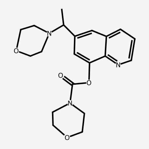 CC(c1cc(OC(=O)N2CCOCC2)c2ncccc2c1)N1CCOCC1